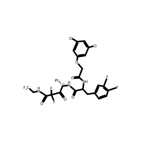 CC(C)[C@H](NC(=O)C(Cc1ccc(F)c(F)c1)NC(=O)COc1cc(Cl)cc(Cl)c1)C(=O)C(F)(F)C(=O)NCC(F)(F)F